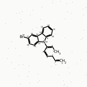 C=CC/C=C\C(=C/C)n1c2ccccc2c2cc(Br)ccc21